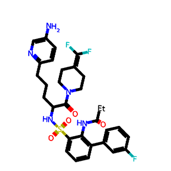 CCC(=O)Nc1c(-c2cccc(F)c2)cccc1S(=O)(=O)NC(CCCc1ccc(N)cn1)C(=O)N1CCC(=C(F)F)CC1